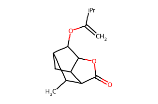 C=C(OC1C2CC3C1OC(=O)C3C2C)C(C)C